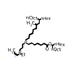 C=C(CCCCCCN(CCCCCCC(=O)OC(CCCCCC)CCCCCCCC)CCCN(/C=C\C)CC)CC(CCCCCC)CCCCCCCC